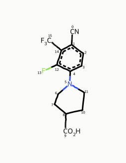 N#Cc1ccc(N2CCC(C(=O)O)CC2)c(F)c1C(F)(F)F